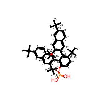 CC(C)(C)c1ccc2cc(-c3c(OP(O)O)ccc(C(C)(C)C)c3-c3cc4ccc(C(C)(C)C)cc4cc3C(C)(C)C)c(C(C)(C)C)cc2c1